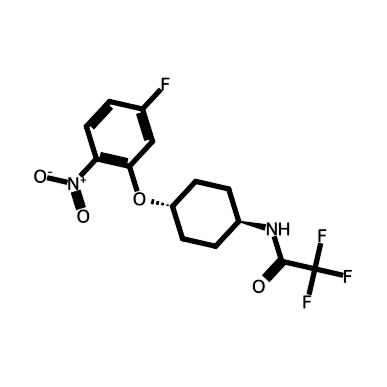 O=C(N[C@H]1CC[C@H](Oc2cc(F)ccc2[N+](=O)[O-])CC1)C(F)(F)F